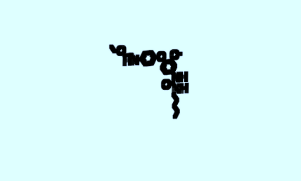 CCCCCNC(=O)Nc1ccc(Oc2ccc(NCCOCC)cc2)c(OC)c1